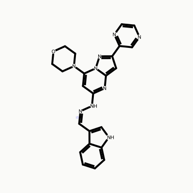 C(=N/Nc1cc(N2CCOCC2)n2nc(-c3cnccn3)cc2n1)/c1c[nH]c2ccccc12